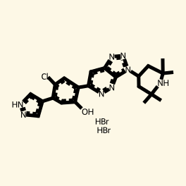 Br.Br.CC1(C)CC(n2nnc3cc(-c4cc(Cl)c(-c5cn[nH]c5)cc4O)nnc32)CC(C)(C)N1